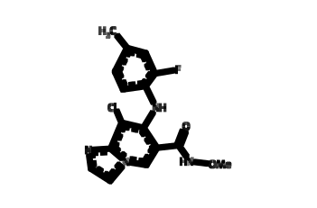 CONC(=O)c1cn2ccnc2c(Cl)c1Nc1ccc(C)cc1F